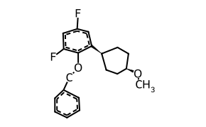 CO[C@H]1CC[C@@H](c2cc(F)cc(F)c2OCc2ccccc2)CC1